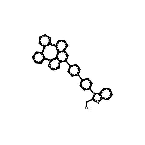 CCc1nc2ccccc2n1-c1ccc(-c2ccc(-c3cc4cccc5c6ccccc6c6ccccc6c6cccc3c6c45)cc2)cc1